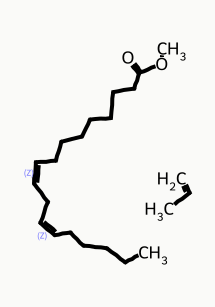 C=CC.CCCCC/C=C\C/C=C\CCCCCCCC(=O)OC